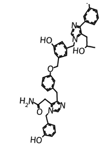 CC(O)Cc1c(-c2cccc(F)c2)ncn1Cc1cc(O)cc(COc2cccc(Cc3ncn(Cc4cccc(O)c4)c3CC(N)=O)c2)c1